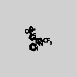 CN(C)C(=O)c1ccc(-c2cc(C(F)(F)F)nn2-c2ccccn2)s1